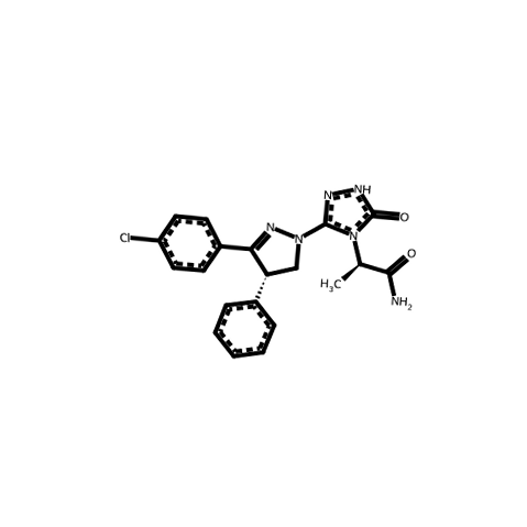 C[C@H](C(N)=O)n1c(N2C[C@H](c3ccccc3)C(c3ccc(Cl)cc3)=N2)n[nH]c1=O